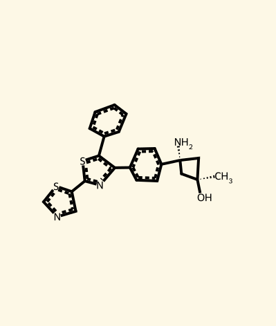 C[C@]1(O)C[C@@](N)(c2ccc(-c3nc(-c4cncs4)sc3-c3ccccc3)cc2)C1